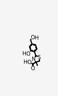 CC1(C(=O)O)CSC(c2ccc(CO)cc2O)=N1